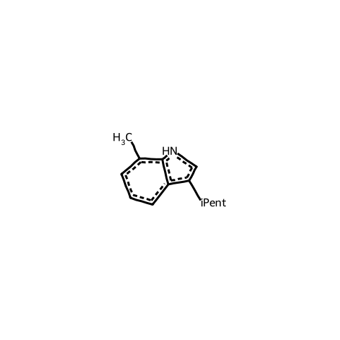 CCCC(C)c1c[nH]c2c(C)cccc12